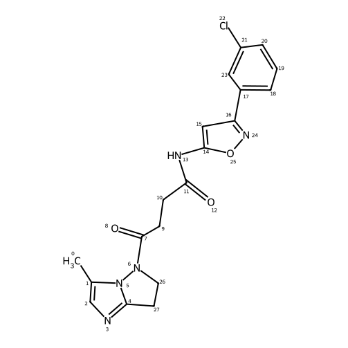 Cc1cnc2n1N(C(=O)CCC(=O)Nc1cc(-c3cccc(Cl)c3)no1)CC2